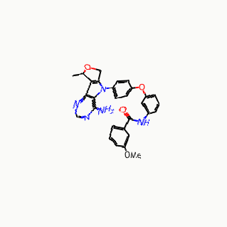 COc1cccc(C(=O)Nc2cccc(Oc3ccc(-n4c5c(c6ncnc(N)c64)C(C)OC5)cc3)c2)c1